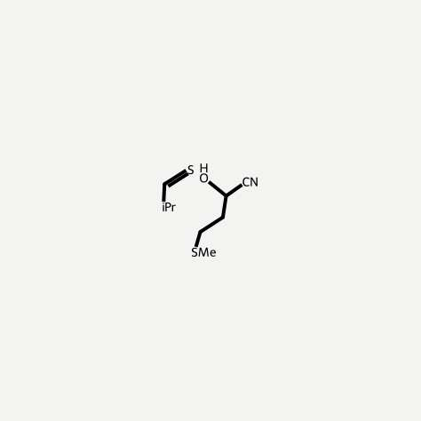 CC(C)C=S.CSCCC(O)C#N